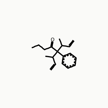 C=CC(C)C(C(=O)CCC)(c1ccccc1)C(C)C=C